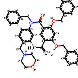 C=C(C)c1cc(C(=O)N(Cc2ccccc2)c2ccc(CN3CCOCC3)cc2)c(OCc2ccccc2)cc1OCc1ccccc1